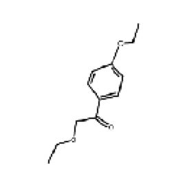 CCOCC(=O)c1ccc(OCC)cc1